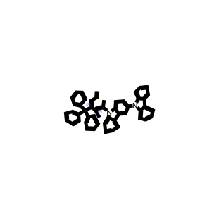 C=C/C=C(\C(C)=C(/C)n1c2ccccc2c2cc(-n3c4ccccc4c4ccccc43)ccc21)C(c1ccccc1)(c1ccccc1)c1ccccc1